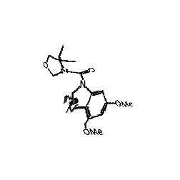 COc1cc(OC)c2nnn(C(=O)N3COCC3(C)C)c2c1